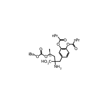 CCCC(=O)Oc1ccc(CC(N)(C[C@H](C)OC(=O)OC(C)CC)C(=O)O)cc1OC(=O)CCC